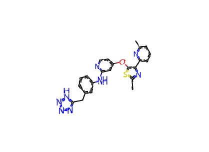 Cc1cccc(-c2nc(C)sc2Oc2ccnc(Nc3cccc(Cc4nnn[nH]4)c3)c2)n1